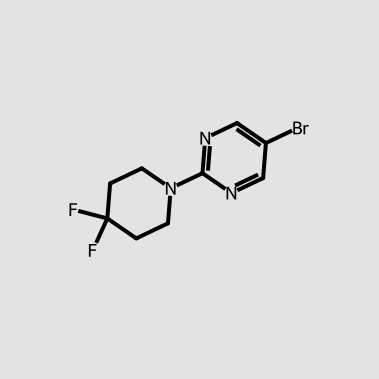 FC1(F)CCN(c2ncc(Br)cn2)CC1